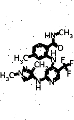 CNC(=O)c1ccc(C)cc1Nc1cc(Nc2cn(C)nc2C)ncc1C(F)(F)F